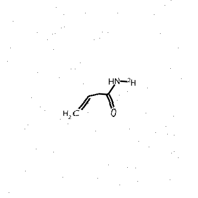 [2H]NC(=O)C=C